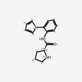 O=C(Nc1ccccc1-n1cccc1)[C@@H]1CCCN1